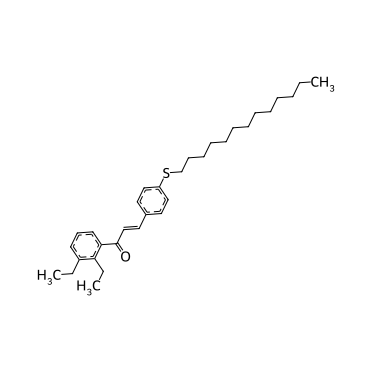 CCCCCCCCCCCCCSc1ccc(C=CC(=O)c2cccc(CC)c2CC)cc1